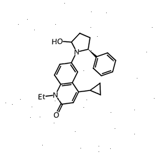 CCn1c(=O)cc(C2CC2)c2cc(N3C(O)CC[C@H]3c3ccccc3)ccc21